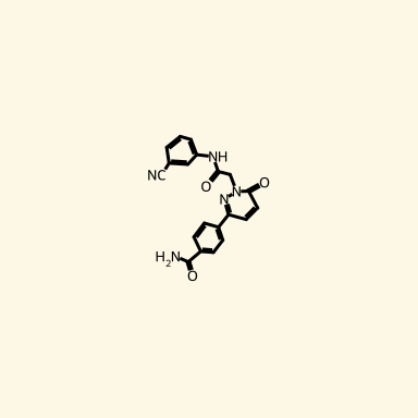 N#Cc1cccc(NC(=O)Cn2nc(-c3ccc(C(N)=O)cc3)ccc2=O)c1